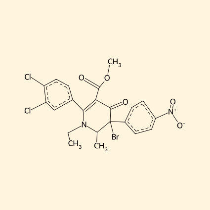 CCN1C(c2ccc(Cl)c(Cl)c2)=C(C(=O)OC)C(=O)C(Br)(c2ccc([N+](=O)[O-])cc2)C1C